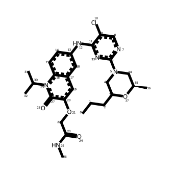 CCCC1CN(c2ncc(Cl)c(Nc3ccc4c(c3)cc(OCC(=O)NC)c(=O)n4C(C)C)n2)C[C@@H](C)O1